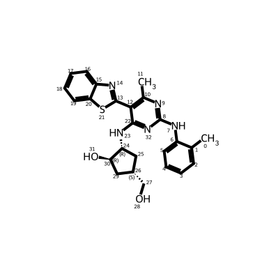 Cc1ccccc1Nc1nc(C)c(-c2nc3ccccc3s2)c(N[C@@H]2C[C@H](CO)C[C@H]2O)n1